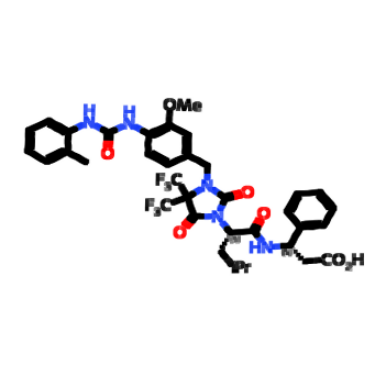 COc1cc(CN2C(=O)N([C@@H](CC(C)C)C(=O)N[C@@H](CC(=O)O)c3ccccc3)C(=O)C2(C(F)(F)F)C(F)(F)F)ccc1NC(=O)Nc1ccccc1C